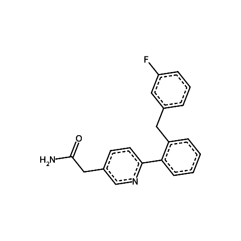 NC(=O)Cc1ccc(-c2ccccc2Cc2cccc(F)c2)nc1